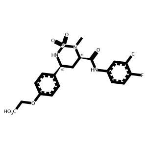 CN1[C@@H](C(=O)Nc2ccc(F)c(Cl)c2)C[C@@H](c2ccc(OCC(=O)O)cc2)NS1(=O)=O